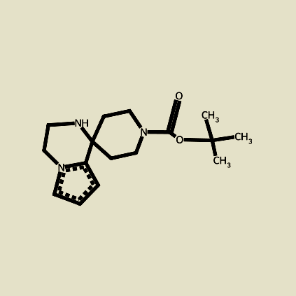 CC(C)(C)OC(=O)N1CCC2(CC1)NCCn1cccc12